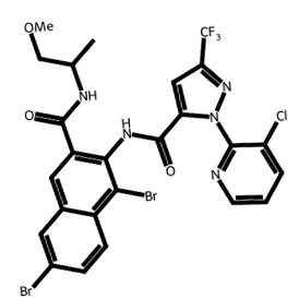 COCC(C)NC(=O)c1cc2cc(Br)ccc2c(Br)c1NC(=O)c1cc(C(F)(F)F)nn1-c1ncccc1Cl